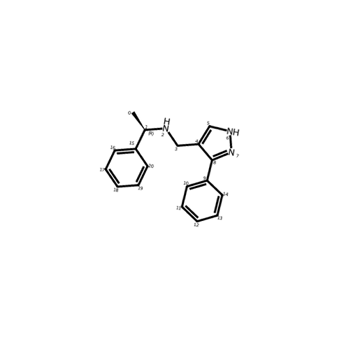 C[C@@H](NCc1c[nH]nc1-c1ccccc1)c1ccccc1